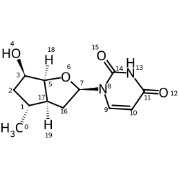 C[C@@H]1C[C@@H](O)[C@H]2O[C@@H](n3ccc(=O)[nH]c3=O)C[C@H]21